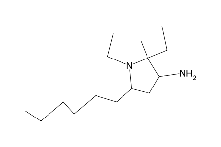 CCCCCCC1CC(N)C(C)(CC)N1CC